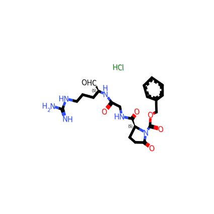 Cl.N=C(N)NCCC[C@@H](C=O)NC(=O)CNC(=O)[C@@H]1CCC(=O)N1C(=O)OCc1ccccc1